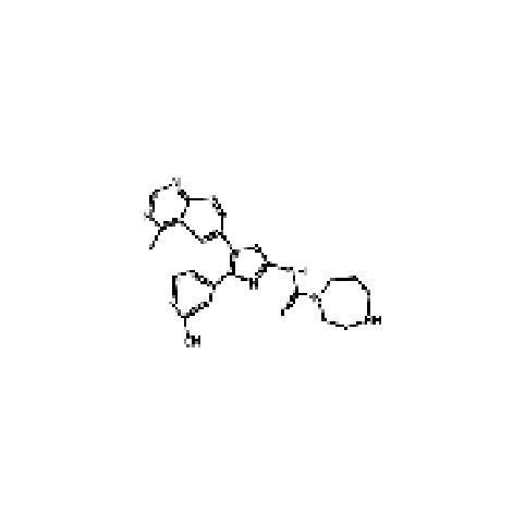 Cc1ncnc2ccc(-c3sc(NC(=O)N4CCCNCC4)nc3-c3cccc(C#N)c3)cc12